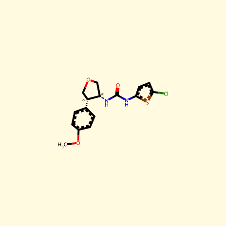 COc1ccc([C@@H]2COC[C@@H]2NC(=O)Nc2ccc(Cl)s2)cc1